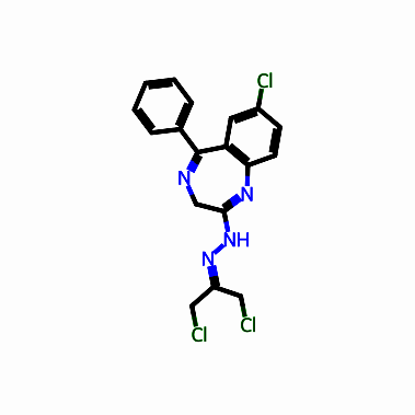 ClCC(CCl)=NNC1=Nc2ccc(Cl)cc2C(c2ccccc2)=NC1